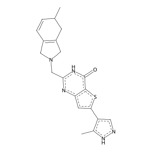 Cc1[nH]ncc1-c1cc2nc(CN3CC4=C(CC(C)C=C4)C3)[nH]c(=O)c2s1